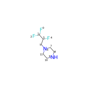 FC(F)C(F)CN1CCNCC1